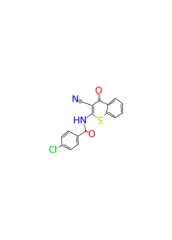 N#Cc1c(NC(=O)c2ccc(Cl)cc2)sc2ccccc2c1=O